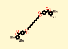 CC(C)(C)c1cc2c(c(C(C)(C)C)c1)OC(=O)C2c1ccc(C(=O)OCCCCCCCCCCCCOC(=O)c2ccc(C3C(=O)Oc4c3cc(C(C)(C)C)cc4C(C)(C)C)cc2)cc1